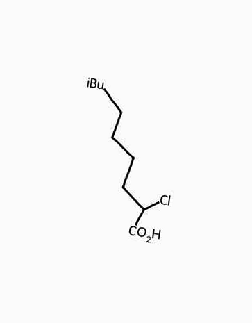 CCC(C)CCCCC(Cl)C(=O)O